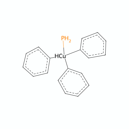 [PH2][CuH]([c]1ccccc1)([c]1ccccc1)[c]1ccccc1